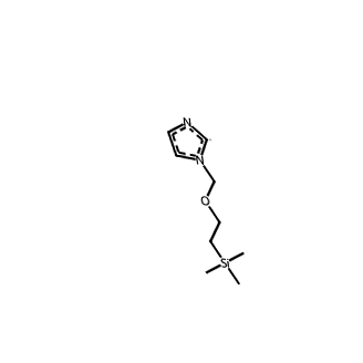 C[Si](C)(C)CCOCn1[c]ncc1